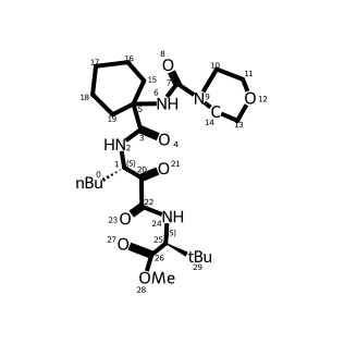 CCCC[C@H](NC(=O)C1(NC(=O)N2CCOCC2)CCCCC1)C(=O)C(=O)N[C@H](C(=O)OC)C(C)(C)C